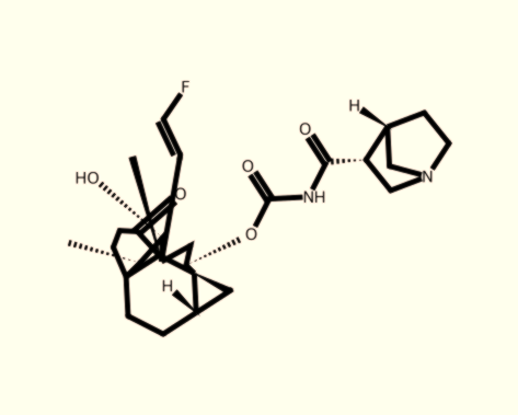 C[C@H]1[C@H](O)[C@](C)(/C=C/F)C[C@@H](OC(=O)NC(=O)[C@H]2CN3CC[C@@H]2C3)[C@]23C[C@@H]2CCC12CCC(=O)C23